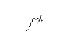 CC(C)CCCCCC(C)CCC(F)(F)F